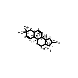 C[C@]12CC[C@@]3(F)[C@@H](C=CC4CC(O)(O)C=C[C@@]43C)[C@@H]1C[C@@H](F)C2